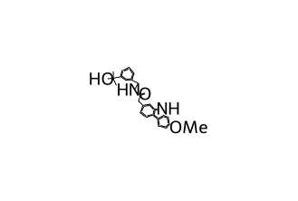 COc1ccc2c(c1)[nH]c1cc(CC(=O)NCc3cccc(C(C)(C)O)c3)ccc12